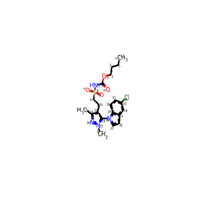 CCCCOC(=O)NS(=O)(=O)CCc1c(C)nn(C)c1-n1ccc2cc(Cl)ccc21